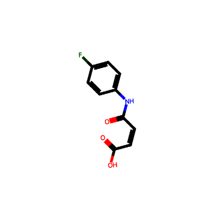 O=C(O)/C=C\C(=O)Nc1ccc(F)cc1